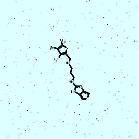 Cc1c(CNCCCNc2nc3cscc3[nH]2)sc(C(F)(F)F)c1Br